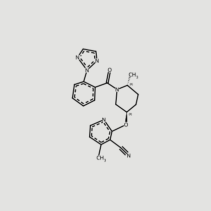 Cc1ccnc(O[C@@H]2CC[C@@H](C)N(C(=O)c3ccccc3-n3nccn3)C2)c1C#N